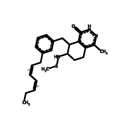 CC/C=C\C=C/Cc1cccc(CC2c3c(c(C)n[nH]c3=O)CCC2NSC)c1